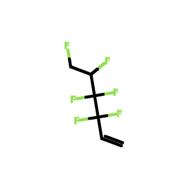 C=CC(F)(F)C(F)(F)C(F)CF